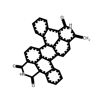 C=c1[nH]c(=O)c2c3ccccc3c3c4ccc5c6c(c7ccccc7c(c7ccc1c2c73)c64)C(=O)NC5=O